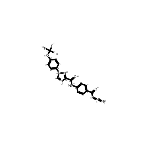 N=[N+]=NC(=O)c1ccc(NC(=O)c2ncn(-c3ccc(OC(F)(F)F)cc3)n2)cc1